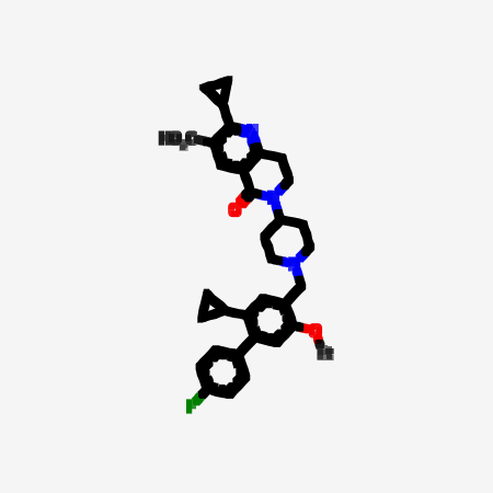 CCOc1cc(-c2ccc(F)cc2)c(C2CC2)cc1CN1CCC(N2CCc3nc(C4CC4)c(C(=O)O)cc3C2=O)CC1